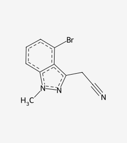 Cn1nc(CC#N)c2c(Br)cccc21